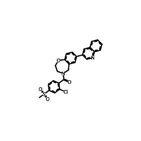 CS(=O)(=O)c1ccc(C(=O)N2CCOc3ccc(-c4cnc5ccccc5c4)cc3C2)c(Cl)c1